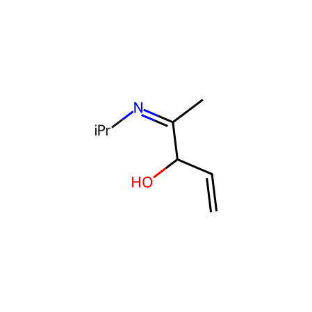 C=CC(O)C(C)=NC(C)C